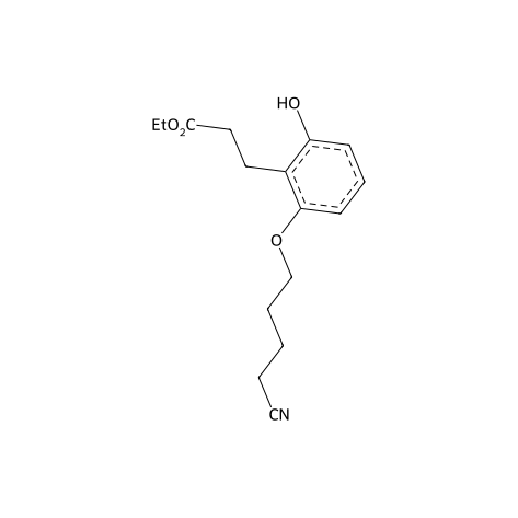 CCOC(=O)CCc1c(O)cccc1OCCCCC#N